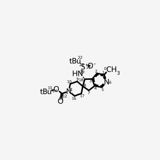 Cc1cc2c(cn1)CC1(CCN(C(=O)OC(C)(C)C)CC1)[C@@H]2N[S@+]([O-])C(C)(C)C